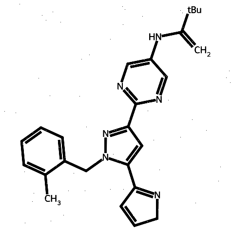 C=C(Nc1cnc(-c2cc(C3=NCC=C3)n(Cc3ccccc3C)n2)nc1)C(C)(C)C